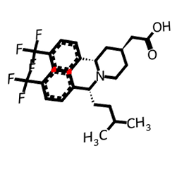 CC(C)CC[C@H](c1ccc(C(F)(F)F)cc1)N1CC[C@H](CC(=O)O)C[C@H]1c1ccc(C(F)(F)F)cc1